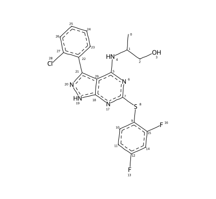 CC(CO)Nc1nc(Sc2ccc(F)cc2F)nc2[nH]nc(-c3ccccc3Cl)c12